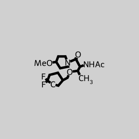 COC1CCN(C(=O)C(NC(C)=O)C(C)OCC2CCC(F)(F)CC2)CC1